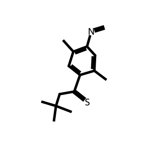 C=Nc1cc(C)c(C(=S)CC(C)(C)C)cc1C